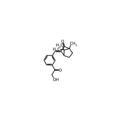 CC12CCC(C(=Cc3cccc(C(=O)CO)c3)C1=O)C2(C)C